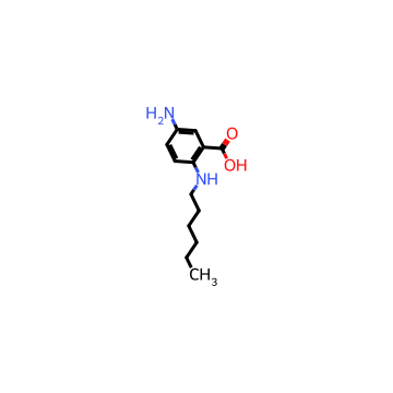 CCCCCCNc1ccc(N)cc1C(=O)O